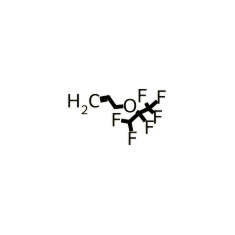 C=CCOC(F)(C(F)F)C(F)(F)F